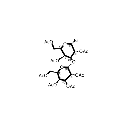 CC(=O)OC[C@H]1O[C@H](Br)[C@H](OC(C)=O)[C@@H](O[C@H]2O[C@H](COC(C)=O)[C@H](OC(C)=O)[C@H](OC(C)=O)[C@H]2OC(C)=O)[C@H]1OC(C)=O